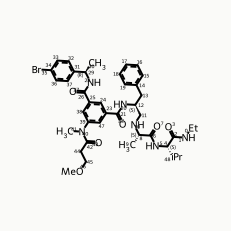 CCNC(=O)[C@@H](NC(=O)[C@H](C)NC[C@H](Cc1ccccc1)NC(=O)c1cc(C(=O)N[C@H](C)c2ccc(Br)cc2)cc(N(C)C(=O)CCOC)c1)C(C)C